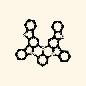 c1cc2c3c(c1)-n1c4ccccc4c4c5sc6ccccc6c5cc(c41)B3c1cc3c4ccccc4sc3c3c4ccccc4n-2c13